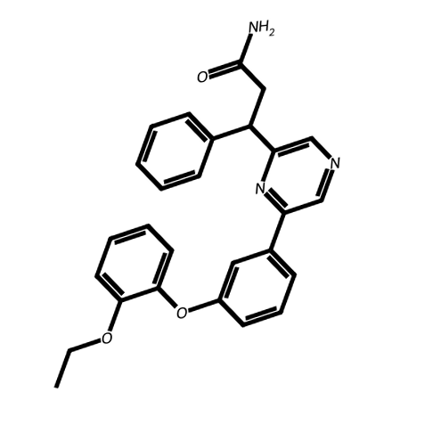 CCOc1ccccc1Oc1cccc(-c2cncc(C(CC(N)=O)c3ccccc3)n2)c1